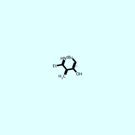 C=C(C(=N)CC)/C(O)=C\C(C)(C)C